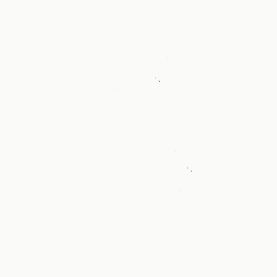 COC(=O)c1cc(C(=O)C(=O)NC2(C)COC2)cn1C